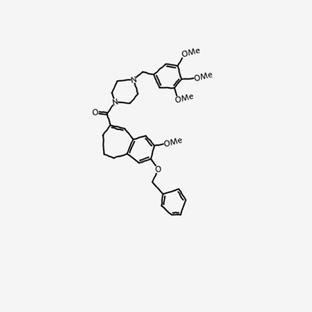 COc1cc2c(cc1OCc1ccccc1)CCCC(C(=O)N1CCN(Cc3cc(OC)c(OC)c(OC)c3)CC1)=C2